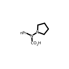 CCCN(C(=O)O)N1CCCC1